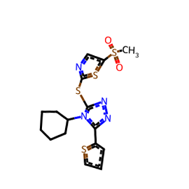 CS(=O)(=O)c1cnc(Sc2nnc(-c3cccs3)n2C2CCCCC2)s1